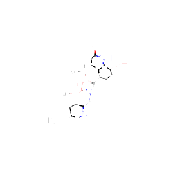 CC(C)(C)OC(=O)N(Cc1ccc(C(=O)O)cn1)C[C@H](O[Si](C)(C)C(C)(C)C)c1ccc(O)c2[nH]c(=O)ccc12